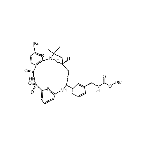 CC(C)(C)OC(=O)NCc1ccnc(C2CC[C@@H]3CN(c4nc(C(C)(C)C)ccc4C(=O)NS(=O)(=O)c4cccc(n4)N2)C(C)(C)C3)c1